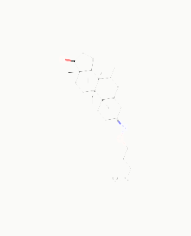 CNCCCON=C1CC[C@@]2(C)C(C1)CC(C)[C@@H]1[C@H]2CC[C@]2(C)C(=O)CC[C@@H]12